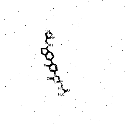 CC(=O)NC[C@H]1CN(c2ccc(-c3ccc4c(c3)CCC4NCc3cnn[nH]3)c(F)c2)C(=O)O1